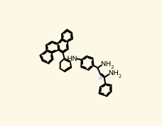 N/C(=C\C(N)c1ccc(NC2=C(c3cc4ccccc4c4ccc5ccccc5c34)CCC=C2)cc1)c1ccccc1